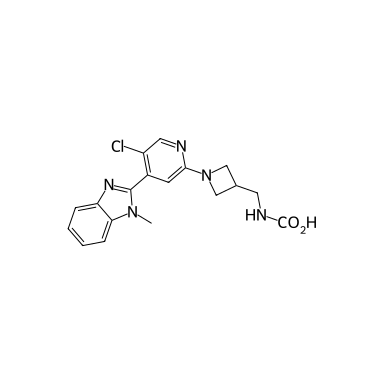 Cn1c(-c2cc(N3CC(CNC(=O)O)C3)ncc2Cl)nc2ccccc21